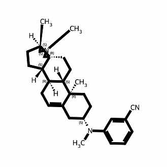 C[C@H]1[C@H]2CC[C@H]3[C@@H]4CC=C5C[C@@H](N(C)c6cccc(C#N)c6)CC[C@]5(C)[C@H]4CC[C@]23CN1C